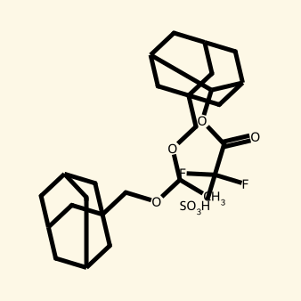 CC(OCC12CC3CC(CC(C3)C1)C2)OCC12CC3CC(C1)C(OC(=O)C(F)(F)S(=O)(=O)O)C(C3)C2